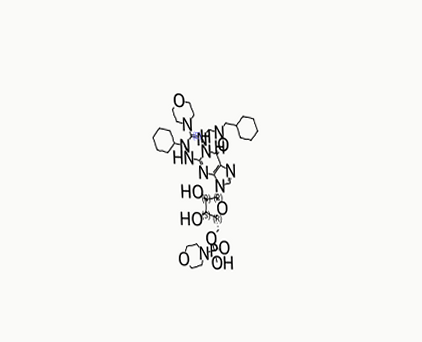 O=c1[nH]c(NN(/C(=N/CNCC2CCCCC2)N2CCOCC2)C2CCCCC2)nc2c1ncn2[C@@H]1O[C@H](COP(=O)(O)N2CCOCC2)[C@@H](O)[C@H]1O